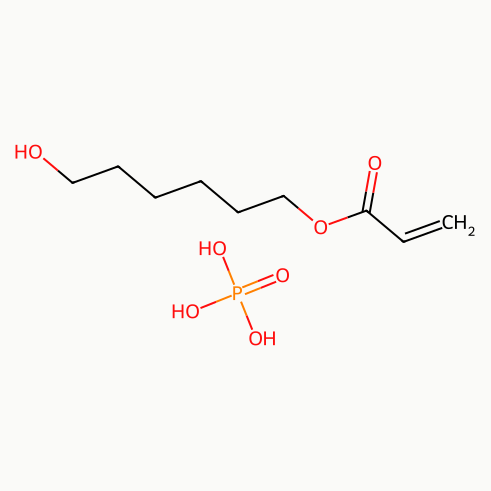 C=CC(=O)OCCCCCCO.O=P(O)(O)O